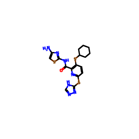 Nc1csc(NC(=O)c2nc(Sc3nnc[nH]3)ccc2SC2CCCCC2)n1